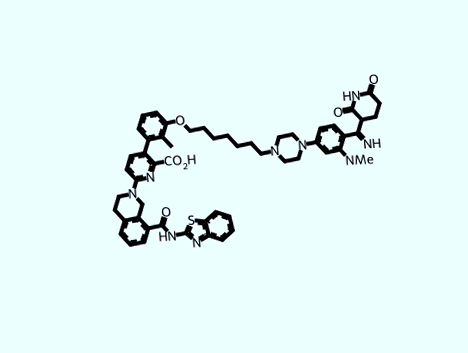 CNc1cc(N2CCN(CCCCCCCOc3cccc(-c4ccc(N5CCc6cccc(C(=O)Nc7nc8ccccc8s7)c6C5)nc4C(=O)O)c3C)CC2)ccc1C(=N)C1CCC(=O)NC1=O